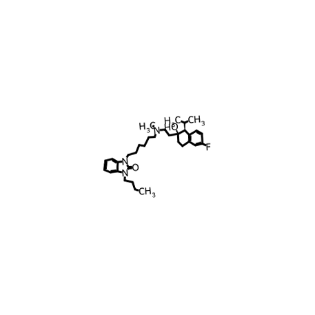 CCCCn1c(=O)n(CCCCCCN(C)CC[C@@]2(O)CCc3cc(F)ccc3[C@@H]2C(C)C)c2ccccc21